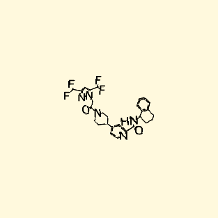 O=C(NC1CCCc2ccccc21)c1cc(C2CCN(C(=O)Cn3nc(C(F)F)cc3C(F)F)CC2)ccn1